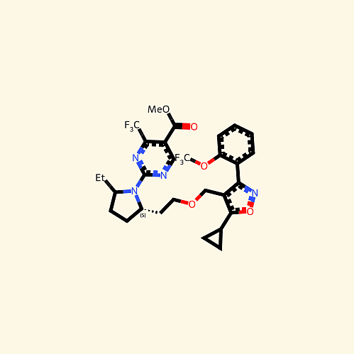 CCC1CC[C@@H](CCOCc2c(-c3ccccc3OC(F)(F)F)noc2C2CC2)N1c1ncc(C(=O)OC)c(C(F)(F)F)n1